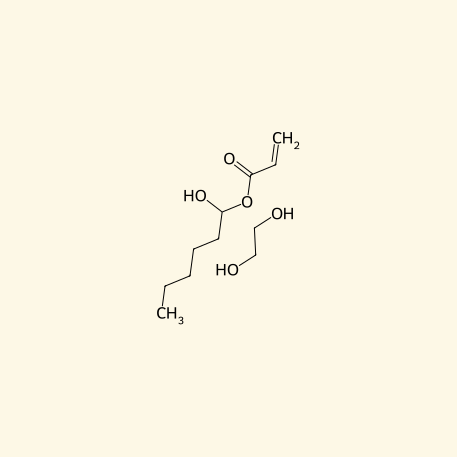 C=CC(=O)OC(O)CCCCC.OCCO